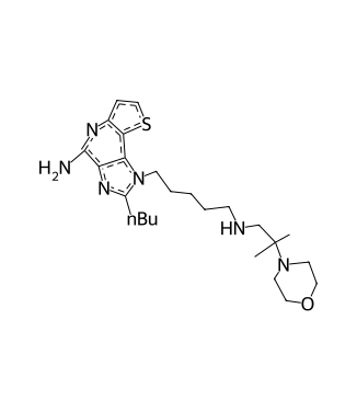 CCCCc1nc2c(N)nc3ccsc3c2n1CCCCCNCC(C)(C)N1CCOCC1